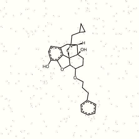 Oc1ccc2c3c1OC1C(OCCCc4ccccc4)CC[C@@]4(O)[C@@H](C2)N(CC2CC2)CC[C@]314